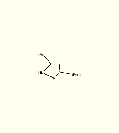 CCCCCN1CC(CCCC)NN1